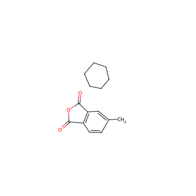 C1CCCCC1.Cc1ccc2c(c1)C(=O)OC2=O